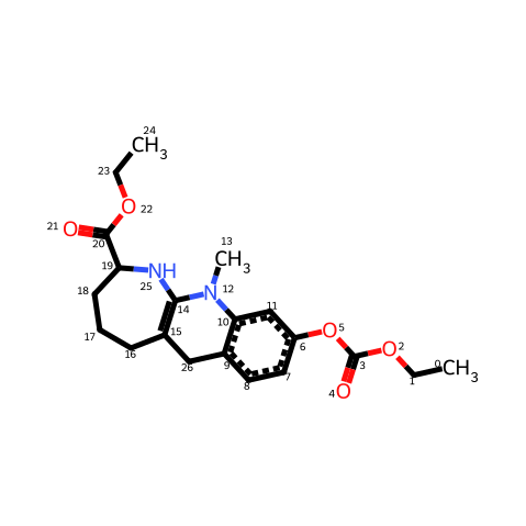 CCOC(=O)Oc1ccc2c(c1)N(C)C1=C(CCCC(C(=O)OCC)N1)C2